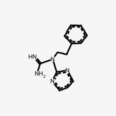 N=C(N)N(CCc1ccccc1)c1ncccn1